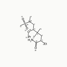 CCC(CC(C)(C)C(CN(C)S(C)(=O)=O)OC(C)C)C(N)=O